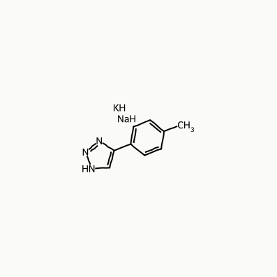 Cc1ccc(-c2c[nH]nn2)cc1.[KH].[NaH]